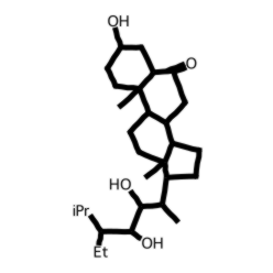 CCC(C(C)C)C(O)C(O)C(C)C1CCC2C3CC(=O)C4CC(O)CCC4(C)C3CCC12C